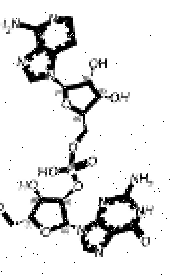 Nc1nc2c(ncn2[C@@H]2O[C@H](CO)[C@@H](O)[C@H]2OP(=O)(O)OC[C@H]2O[C@@H](n3cnc4c(N)nccc43)[C@H](O)[C@@H]2O)c(=O)[nH]1